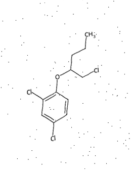 CCCC(CCl)Oc1ccc(Cl)cc1Cl